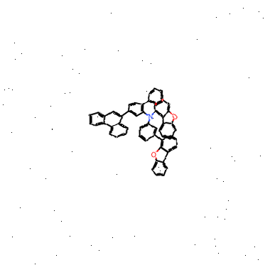 c1ccc(-c2ccc(-c3cc4ccccc4c4ccccc34)cc2N(c2cccc(-c3cccc4c3oc3ccccc34)c2)c2cccc3oc4ccccc4c23)cc1